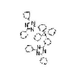 c1ccc(-c2nc(-c3ccccc3)nc(-c3cccc(S(c4ccccc4)(c4ccccc4)c4cccc(-c5nc(-c6ccccc6)nc(-c6ccccc6)n5)c4)c3)n2)cc1